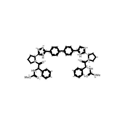 COC(=O)NC(C(=O)N1CCC[C@H]1c1nnc(-c2ccc(-c3ccc(-c4cnc([C@@H]5CCCN5C(=O)[C@H](NC(=O)OC)c5ccccc5)[nH]4)cc3)cc2)[nH]1)c1ccccc1